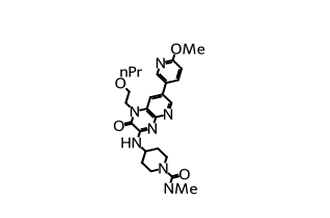 CCCOCCn1c(=O)c(NC2CCN(C(=O)NC)CC2)nc2ncc(-c3ccc(OC)nc3)cc21